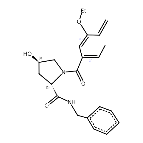 C=C/C(=C\C(=C/C)C(=O)N1C[C@H](O)C[C@H]1C(=O)NCc1ccccc1)OCC